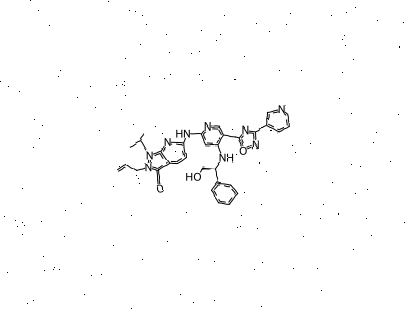 C=CCn1c(=O)c2ccc(Nc3cc(N[C@H](CO)c4ccccc4)c(-c4nc(-c5cccnc5)no4)cn3)nc2n1C(C)C